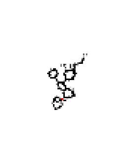 CCN1C2CCC1CC(c1ccnc3c(-c4ccc(NC=O)c(O)c4)c(-c4ccncc4)nn13)C2